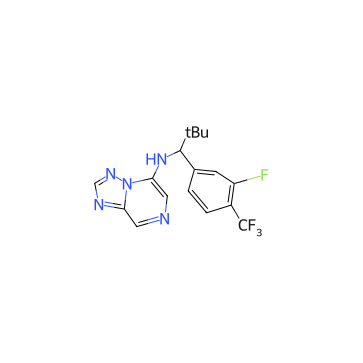 CC(C)(C)C(Nc1cncc2ncnn12)c1ccc(C(F)(F)F)c(F)c1